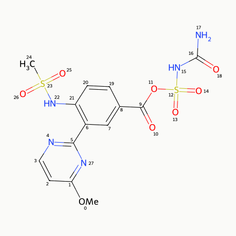 COc1ccnc(-c2cc(C(=O)OS(=O)(=O)NC(N)=O)ccc2NS(C)(=O)=O)n1